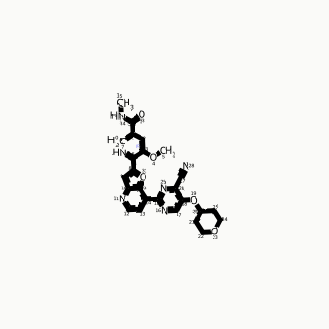 C=C(/C=C(/OC)C(=N)c1cc2nccc(-c3ncc(OC4CCOCC4)c(C#N)n3)c2o1)C(=O)NC